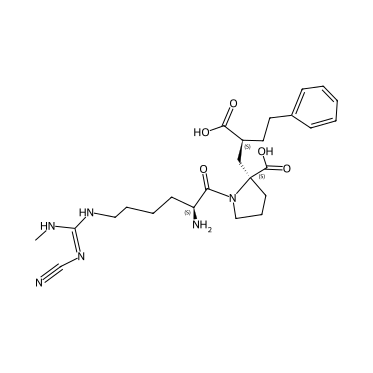 CNC(=NC#N)NCCCC[C@H](N)C(=O)N1CCC[C@]1(C[C@H](CCc1ccccc1)C(=O)O)C(=O)O